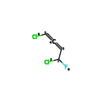 FC(Cl)C=C=CCl